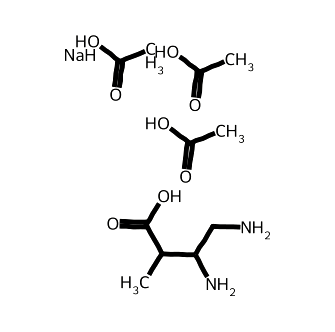 CC(=O)O.CC(=O)O.CC(=O)O.CC(C(=O)O)C(N)CN.[NaH]